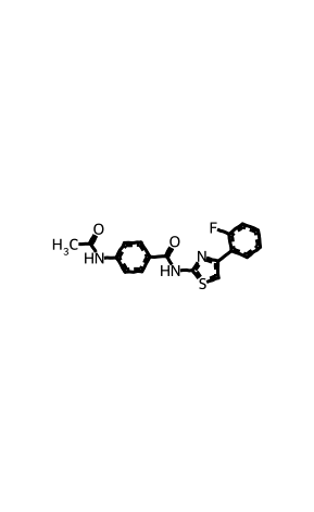 CC(=O)Nc1ccc(C(=O)Nc2nc(-c3ccccc3F)cs2)cc1